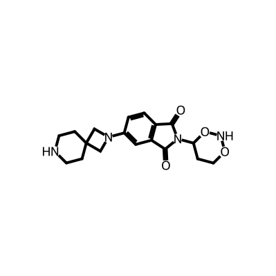 O=C1c2ccc(N3CC4(CCNCC4)C3)cc2C(=O)N1C1CCONO1